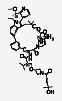 CCn1c(-c2cccnc2[C@H](C)OC)c2c3cc(ccc31)-c1cccc(c1)C[C@H](NC(=O)[C@@H](COC1CN(C(=O)C#CC(C)(C)O)C1)C(C)C)C(=O)N1CCC[C@@]([SiH3])(N1)C(=O)OCC(C)(C)C2